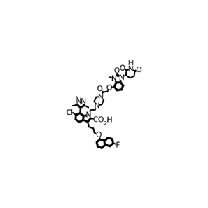 Cc1nn(C)c(C)c1-c1c(Cl)ccc2c(CCCOc3cccc4cc(F)ccc34)c(C(=O)O)n(CCN3CCN(C(=O)COc4cccc5c4n(C)c(=O)n5C4CCC(=O)NC4=O)CC3)c12